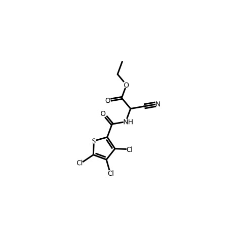 CCOC(=O)C(C#N)NC(=O)c1sc(Cl)c(Cl)c1Cl